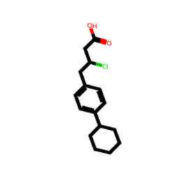 O=C(O)CC(Cl)Cc1ccc(C2CCCCC2)cc1